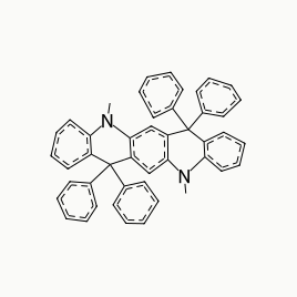 CN1c2ccccc2C(c2ccccc2)(c2ccccc2)c2cc3c(cc21)C(c1ccccc1)(c1ccccc1)c1ccccc1N3C